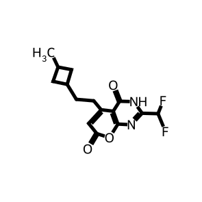 CC1CC(CCc2cc(=O)oc3nc(C(F)F)[nH]c(=O)c23)C1